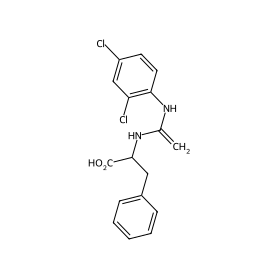 C=C(Nc1ccc(Cl)cc1Cl)NC(Cc1ccccc1)C(=O)O